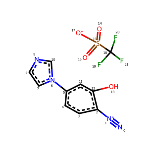 N#[N+]c1ccc(-n2ccnc2)cc1O.O=S(=O)([O-])C(F)(F)F